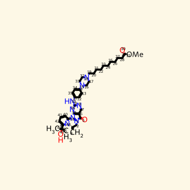 C=CCn1c(=O)c2cnc(Nc3ccc(N4CCN(CCCCCCCCCCC(=O)OC)CC4)cc3)nc2n1-c1cccc(C(C)(C)O)n1